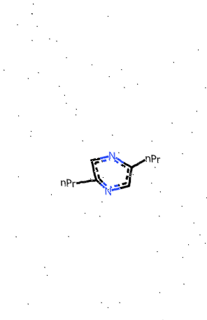 CCCc1cnc(CCC)cn1